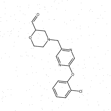 O=CC1CN(Cc2cnc(Oc3ccccc3Cl)cn2)CCO1